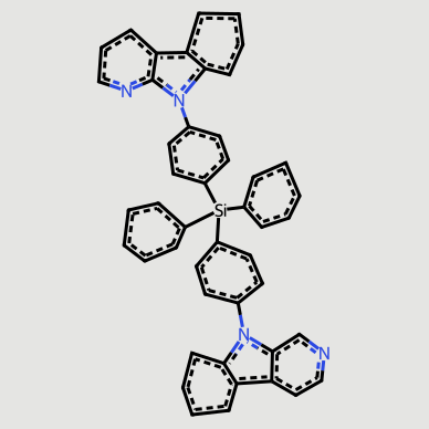 c1ccc([Si](c2ccccc2)(c2ccc(-n3c4ccccc4c4ccncc43)cc2)c2ccc(-n3c4ccccc4c4cccnc43)cc2)cc1